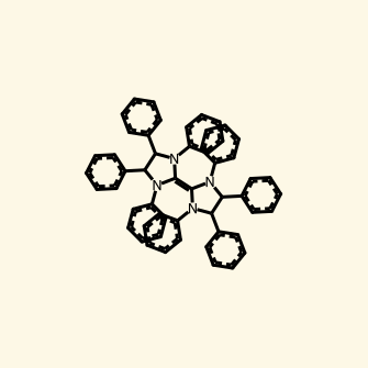 c1ccc(C2C(c3ccccc3)N(c3ccccc3)C(=C3N(c4ccccc4)C(c4ccccc4)C(c4ccccc4)N3c3ccccc3)N2c2ccccc2)cc1